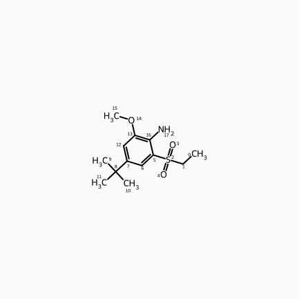 CCS(=O)(=O)c1cc(C(C)(C)C)cc(OC)c1N